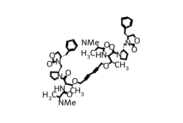 CN[C@@H](C)C(=O)N[C@H](C(=O)N1CCC[C@H]1CN1C(=O)OC[C@@H]1Cc1ccccc1)[C@@H](C)OCC#CC#CCO[C@H](C)[C@H](NC(=O)[C@H](C)NC)C(=O)N1CCC[C@H]1CN1C(=O)OC[C@@H]1Cc1ccccc1